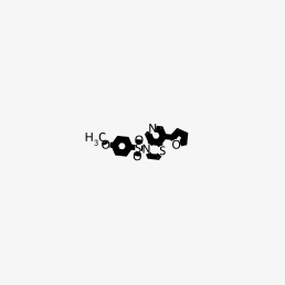 COc1ccc(S(=O)(=O)N2CCSc3c(-c4ccco4)cncc32)cc1